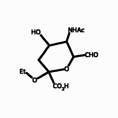 CCOC1(C(=O)O)CC(O)C(NC(C)=O)C(C=O)O1